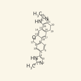 Cc1ncc(-c2ccc3c(c2)COc2cc4c(cc2-3)CCc2nc(C)[nH]c2-4)[nH]1